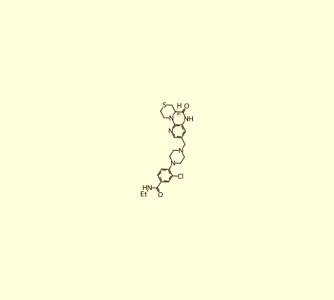 CCNC(=O)c1ccc(N2CCN(Cc3cnc4c(c3)NC(=O)[C@@H]3CSCCN43)CC2)c(Cl)c1